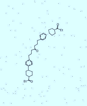 CCC(=O)C1CCC(c2ccc(CCCC(=O)CCCc3ccc([C@H]4CC[C@H](C(=O)CC)CC4)cc3)cc2)CC1